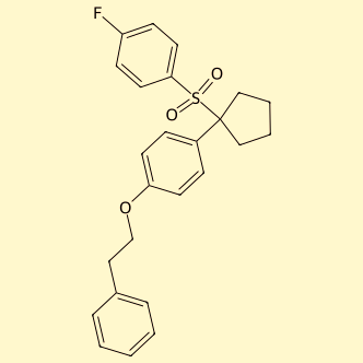 O=S(=O)(c1ccc(F)cc1)C1(c2ccc(OCCc3ccccc3)cc2)CCCC1